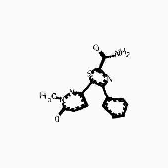 Cn1nc(-c2sc(C(N)=O)nc2-c2ccccc2)ccc1=O